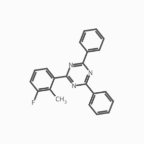 Cc1c(F)cccc1-c1nc(-c2ccccc2)nc(-c2ccccc2)n1